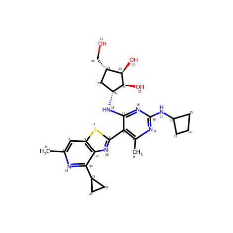 Cc1cc2sc(-c3c(C)nc(NC4CCC4)nc3N[C@@H]3C[C@H](CO)[C@@H](O)[C@H]3O)nc2c(C2CC2)n1